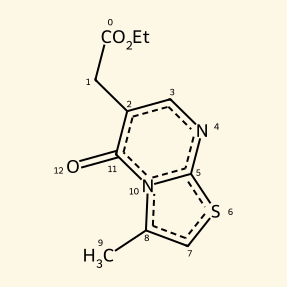 CCOC(=O)Cc1cnc2scc(C)n2c1=O